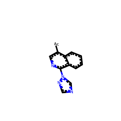 CC(=O)c1cnc(-n2cncn2)c2ccccc12